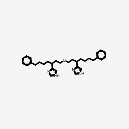 c1ccc(CCCCC(CCOCCC(CCCCc2ccccc2)c2c[nH]cn2)c2c[nH]cn2)cc1